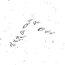 [O-2].[O-2].[O-2].[O-2].[O-2].[Zn+2].[Zn+2].[Zn+2].[Zn+2].[Zn+2]